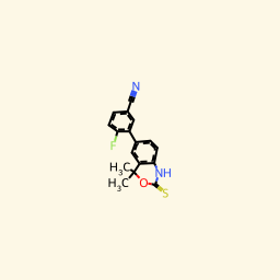 CC1(C)OC(=S)Nc2ccc(-c3cc(C#N)ccc3F)cc21